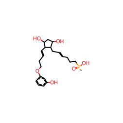 CP(=O)(O)CCCC=CCC1C(O)CC(O)C1C=CCCOc1cccc(O)c1